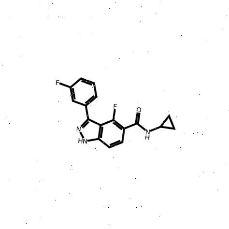 O=C(NC1CC1)c1ccc2[nH]nc(-c3cccc(F)c3)c2c1F